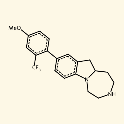 COc1ccc(-c2ccc3c(c2)CC2CCNCCN32)c(C(F)(F)F)c1